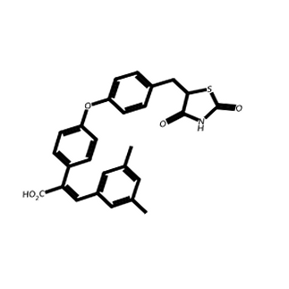 Cc1cc(C)cc(C=C(C(=O)O)c2ccc(Oc3ccc(CC4SC(=O)NC4=O)cc3)cc2)c1